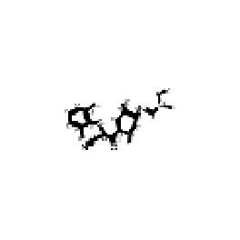 CCN(C)C=Nc1cc(C)c(C(=O)C(C#N)Sc2c(C)cccc2C)cc1C